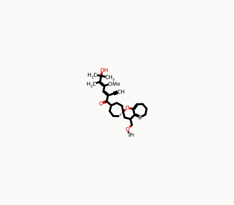 C#C/C(=C\C(OC)=C(/C)C(C)(C)O)C(=O)C1CCC[C@@]2(CC1)CC(COC(C)C)C1=BCCCC=C1O2